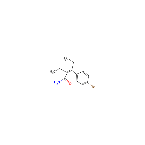 CCC(C(N)=O)=C(CC)c1ccc(Br)cc1